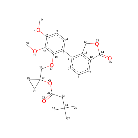 COc1ccc(-c2cccc3c2COC3=O)c(OCC2(OC(=O)CC(C)(C)C)CC2)c1OC